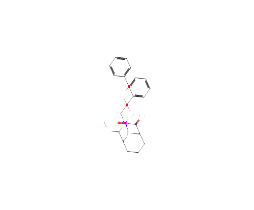 COC1C2CCCC(C(=O)N1CCOCc1ccccc1)N2C(=O)OCc1ccccc1